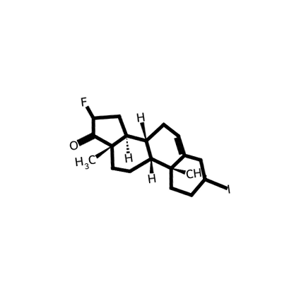 C[C@]12CCC(I)CC1=CC[C@@H]1[C@H]2CC[C@]2(C)C(=O)C(F)C[C@@H]12